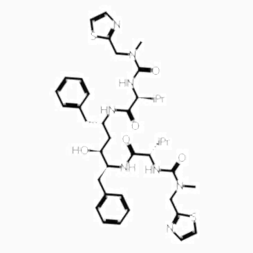 CC(C)[C@H](NC(=O)N(C)Cc1nccs1)C(=O)N[C@@H](Cc1ccccc1)C[C@H](O)[C@H](Cc1ccccc1)NC(=O)[C@@H](NC(=O)N(C)Cc1nccs1)C(C)C